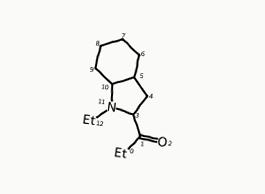 CCC(=O)C1CC2CCCCC2N1CC